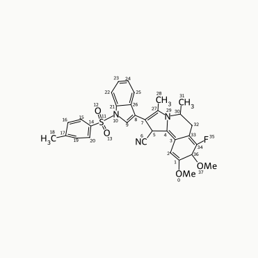 COC1=CC2=C3C(C#N)C(c4cn(S(=O)(=O)c5ccc(C)cc5)c5ccccc45)=C(C)N3C(C)CC2=C(F)C1OC